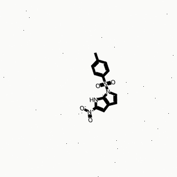 Cc1ccc(S(=O)(=O)n2ccc3cc([N+](=O)[O-])[nH]c32)cc1